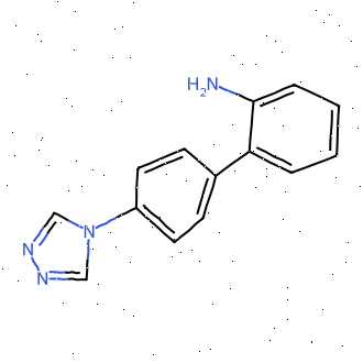 Nc1ccccc1-c1ccc(-n2cnnc2)cc1